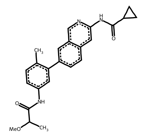 COC(C)C(=O)Nc1ccc(C)c(-c2ccc3cc(NC(=O)C4CC4)ncc3c2)c1